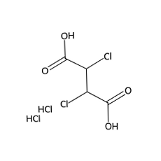 Cl.Cl.O=C(O)C(Cl)C(Cl)C(=O)O